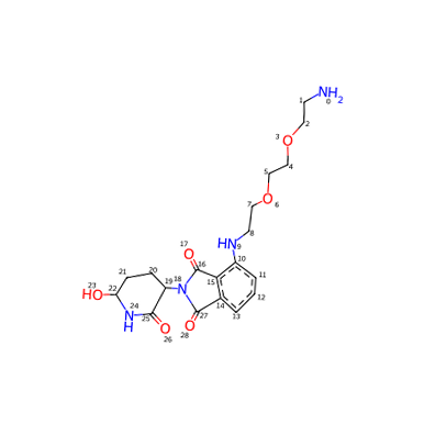 NCCOCCOCCNc1cccc2c1C(=O)N(C1CCC(O)NC1=O)C2=O